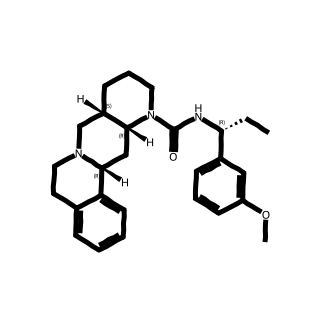 CC[C@@H](NC(=O)N1CCC[C@H]2CN3CCc4ccccc4[C@H]3C[C@H]21)c1cccc(OC)c1